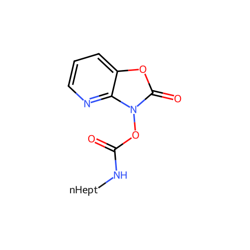 CCCCCCCNC(=O)On1c(=O)oc2cccnc21